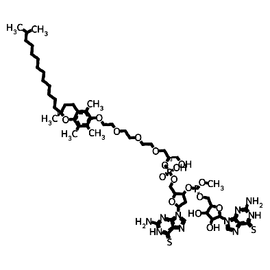 COP(OCC1OC(n2cnc3c(=S)[nH]c(N)nc32)C(O)C1O)OC1CC(n2cnc3c(=S)[nH]c(N)nc32)OC1COP(=O)(O)O[C@H](CO)COCCOCCOCCOc1c(C)c(C)c2c(c1C)CC[C@@](C)(CCCCCCCCCCCC(C)C)O2